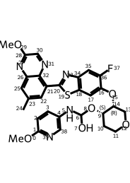 COc1ccc(NC(O)O[C@H]2CCOC[C@H]2Oc2cc3sc(-c4cc(C)cc5nc(OC)cnc45)nc3cc2F)cn1